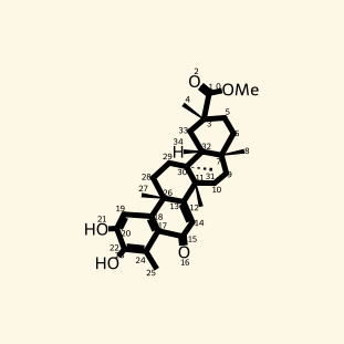 COC(=O)[C@]1(C)CC[C@]2(C)CC[C@]3(C)C4=CC(=O)c5c(cc(O)c(O)c5C)[C@]4(C)CC[C@@]3(C)[C@@H]2C1